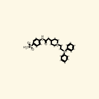 CS(=O)(=O)c1ccc(NC(=O)CC2CCN(CCN(c3ccccc3)c3ccccc3)CC2)cc1